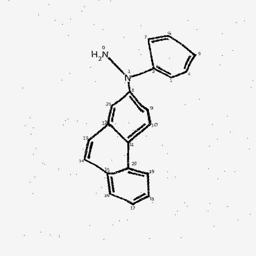 NN(c1ccccc1)c1ccc2c(ccc3ccccc32)c1